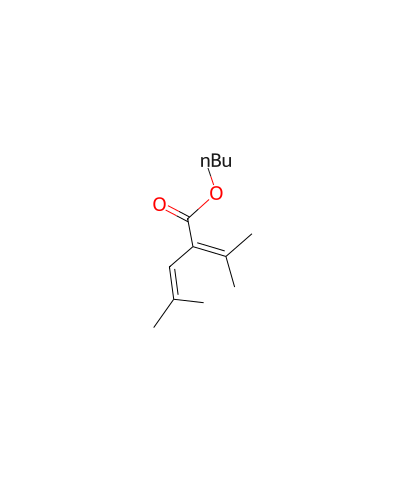 CCCCOC(=O)C(C=C(C)C)=C(C)C